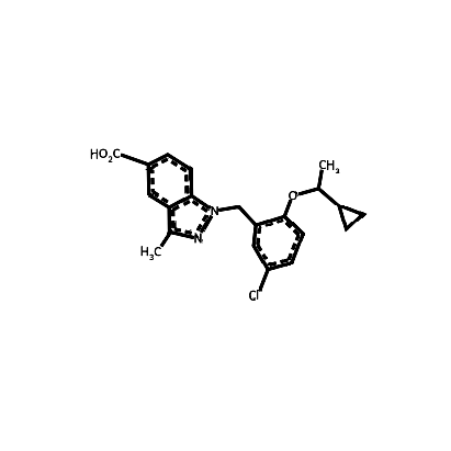 Cc1nn(Cc2cc(Cl)ccc2OC(C)C2CC2)c2ccc(C(=O)O)cc12